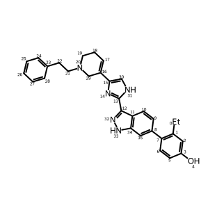 CCc1cc(O)ccc1-c1ccc2c(-c3nc(C4=CCCN(CCc5ccccc5)C4)c[nH]3)n[nH]c2c1